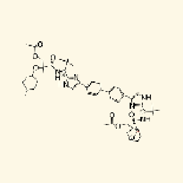 CC(=O)OCC(C)(OC1CCC(C)CC1)C(=O)N[C@H](c1nc(-c2ccc(-c3ccc(-c4c[nH]c([C@@H](NC(=O)C5(COC(C)=O)OC6CCC5CC6)C(C)(C)C)n4)cc3)cc2)c[nH]1)C(C)(C)C